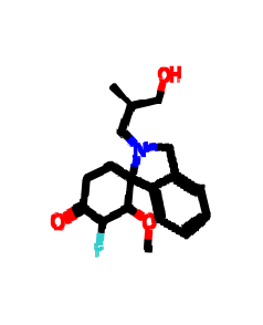 COC1C(F)C(=O)CCC12c1ccccc1CN2C[C@@H](C)CO